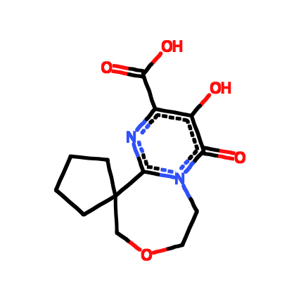 O=C(O)c1nc2n(c(=O)c1O)CCOCC21CCCC1